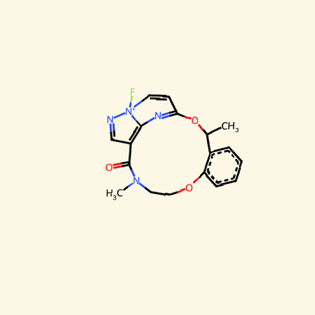 CC1OC2=NC3=C(C=N[N+]3(F)C=C2)C(=O)N(C)CCOc2ccccc21